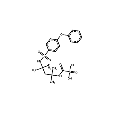 CC(C)(CC(C)(C)NS(=O)(=O)c1ccc(Oc2ccccc2)cc1)NC(=O)P(=O)(O)O